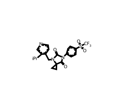 CC(C)c1cnccc1CN1C(=O)N(c2ccc(S(=O)(=O)C(F)(F)F)cc2)C(=O)C12CC2